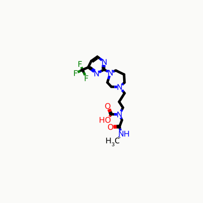 CNC(=O)CN(CCCN1CCCN(c2nccc(C(F)(F)F)n2)CC1)C(=O)O